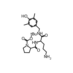 Cc1cc(CNC(=O)C(CCCN)NC(=O)C2CCCN2C(=O)OC(C)(C)C)cc(C)c1O